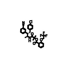 C[C@H](NC(=O)C(C)(C)OC(=O)c1ccccc1OCC(F)(F)F)[C@@H](Cc1ccc(Cl)cc1)c1cccc(C#N)c1